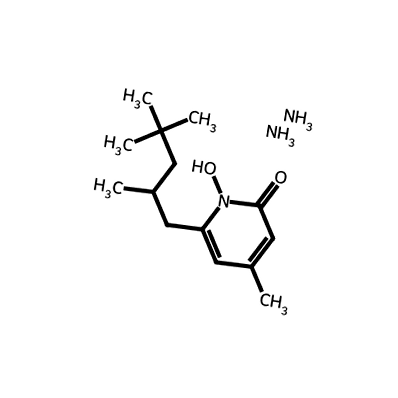 Cc1cc(CC(C)CC(C)(C)C)n(O)c(=O)c1.N.N